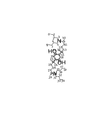 CCCCN(CCCC)C(C)CCCC(C)(C)c1cc(O)c(C(C)(C)CCCC(C)N(CCCC)CCCC)cc1O